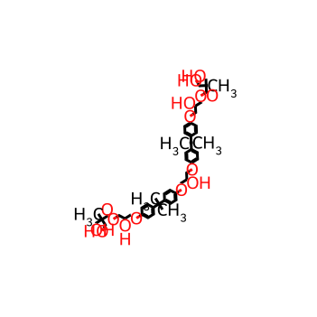 CC(CO)(CO)C(=O)OCC(O)COc1ccc(C(C)(C)c2ccc(OCC(O)COc3ccc(C(C)(C)c4ccc(OCC(O)COC(=O)C(C)(CO)CO)cc4)cc3)cc2)cc1